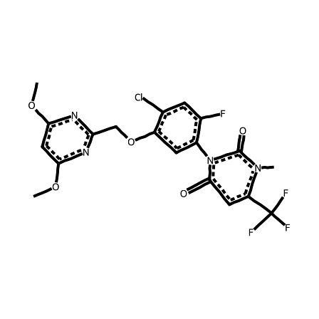 COc1cc(OC)nc(COc2cc(-n3c(=O)cc(C(F)(F)F)n(C)c3=O)c(F)cc2Cl)n1